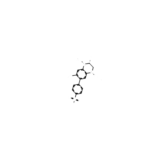 CC(=O)N1c2cc(Br)c(-c3ccc(S(C)(=O)=O)cc3)cc2N(C(=O)O)C[C@@H]1C